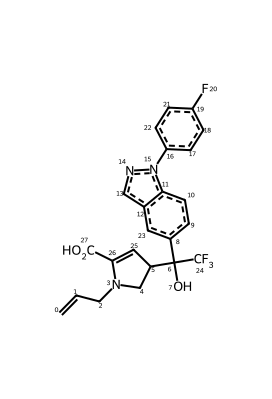 C=CCN1CC(C(O)(c2ccc3c(cnn3-c3ccc(F)cc3)c2)C(F)(F)F)C=C1C(=O)O